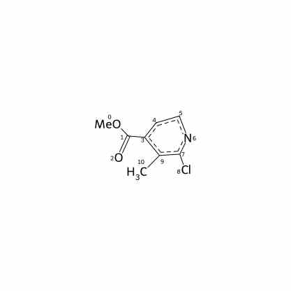 COC(=O)c1ccnc(Cl)c1C